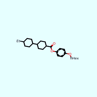 CCCCCCOc1ccc(OC(=O)C2CCC(C3CCC(CC)CC3)CC2)cc1